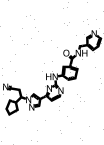 N#CCC(C1CCCC1)n1cc(-c2ccnc(Nc3cccc(C(=O)NCc4cccnc4)c3)n2)cn1